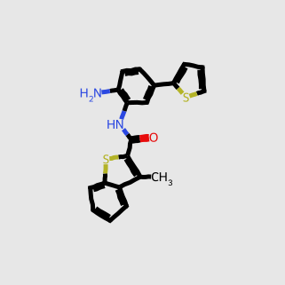 Cc1c(C(=O)Nc2cc(-c3cccs3)ccc2N)sc2ccccc12